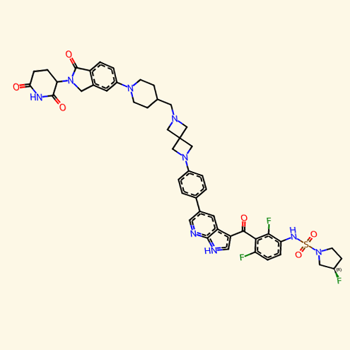 O=C1CCC(N2Cc3cc(N4CCC(CN5CC6(C5)CN(c5ccc(-c7cnc8[nH]cc(C(=O)c9c(F)ccc(NS(=O)(=O)N%10CC[C@@H](F)C%10)c9F)c8c7)cc5)C6)CC4)ccc3C2=O)C(=O)N1